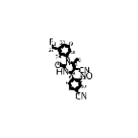 CC1=C(C#N)[C@@H](c2ccc(C#N)cc2N=O)NC(=O)N1c1cccc(CF)c1